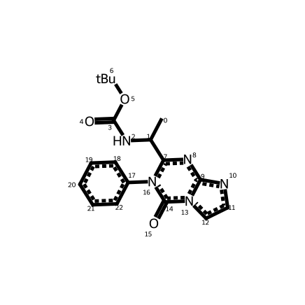 CC(NC(=O)OC(C)(C)C)c1nc2nccn2c(=O)n1-c1ccccc1